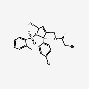 Cc1ccccc1S(=O)(=O)N1C(C(C)(C)C)C=C(COC(=O)CBr)[C@@H]1c1ccc(Cl)cc1